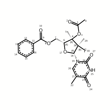 CC(=O)O[C@]1(C)[C@@H](COC(=O)c2ccccc2)O[C@@H](n2cc(C)c(=O)[nH]c2=O)[C@]1(C)F